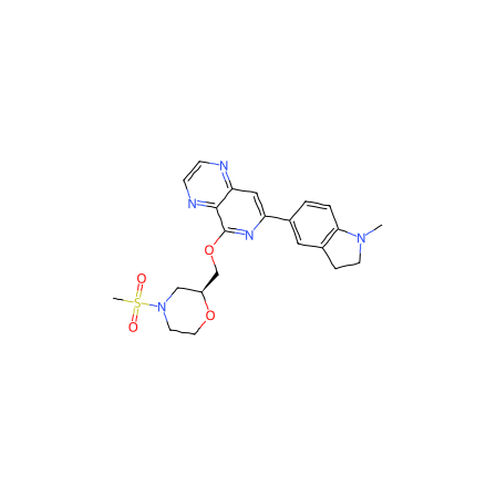 CN1CCc2cc(-c3cc4nccnc4c(OC[C@@H]4CN(S(C)(=O)=O)CCO4)n3)ccc21